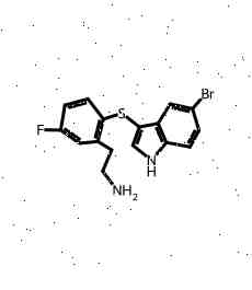 NCCc1cc(F)ccc1Sc1c[nH]c2ccc(Br)cc12